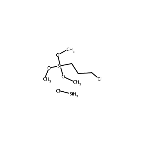 CO[Si](CCCCl)(OC)OC.[SiH3]Cl